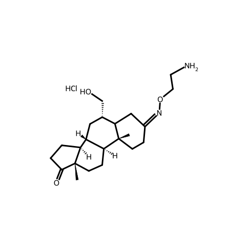 C[C@]12CC/C(=N/OCCN)CC1[C@@H](CO)C[C@@H]1[C@@H]2CC[C@]2(C)C(=O)CC[C@@H]12.Cl